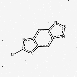 Clc1nc2cc3nsnc3cc2s1